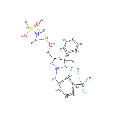 CC(C)(CN(CCCOC1CN(S(C)(=O)=O)C1)Cc1cccc(C(F)(F)F)c1F)c1ccccc1